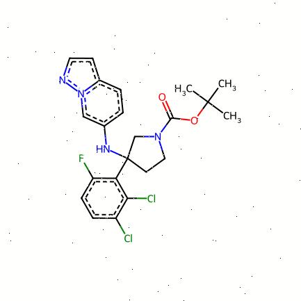 CC(C)(C)OC(=O)N1CCC(Nc2ccc3ccnn3c2)(c2c(F)ccc(Cl)c2Cl)C1